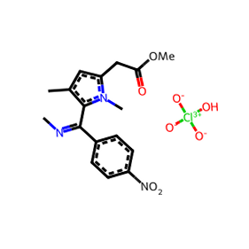 CN=C(c1ccc([N+](=O)[O-])cc1)c1c(C)cc(CC(=O)OC)n1C.[O-][Cl+3]([O-])([O-])O